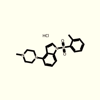 Cc1ccccc1S(=O)(=O)n1ccc2c(N3CCN(C)CC3)cccc21.Cl